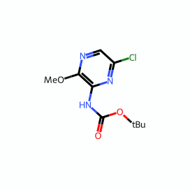 COc1ncc(Cl)nc1NC(=O)OC(C)(C)C